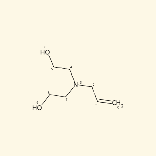 C=CCN(CCO)CCO